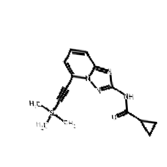 C[Si](C)(C)C#Cc1cccc2nc(NC(=O)C3CC3)nn12